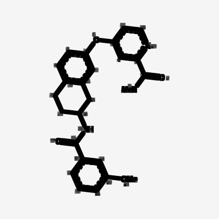 CNC(=O)c1cc(Oc2ccc3c(c2)CC(NC(=O)c2cccc(OC)c2)CC3)ccn1